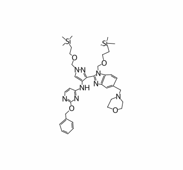 C[Si](C)(C)CCOCn1cc(Nc2ccnc(OCc3ccccc3)n2)c(-c2nc3cc(CN4CCOCC4)ccc3n2COCC[Si](C)(C)C)n1